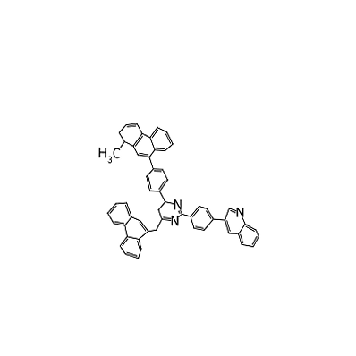 CC1CC=Cc2c1cc(-c1ccc(C3CC(Cc4cc5ccccc5c5ccccc45)=NC(c4ccc(-c5cnc6ccccc6c5)cc4)=N3)cc1)c1ccccc21